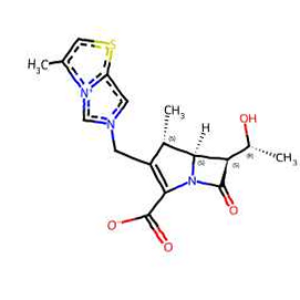 Cc1csc2cn(CC3=C(C(=O)[O-])N4C(=O)[C@H]([C@@H](C)O)[C@@H]4[C@H]3C)c[n+]12